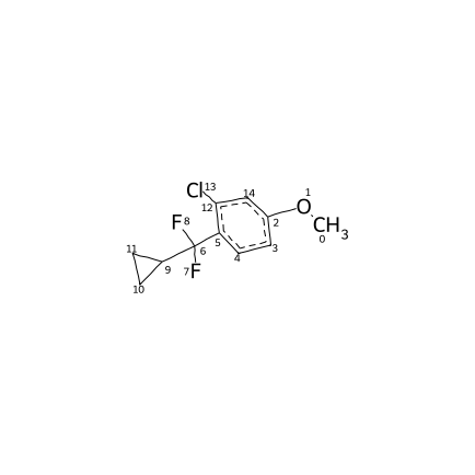 COc1ccc(C(F)(F)C2CC2)c(Cl)c1